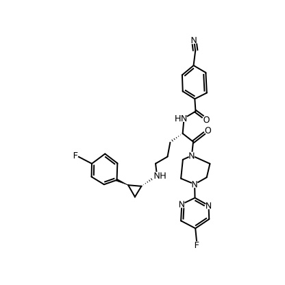 N#Cc1ccc(C(=O)N[C@@H](CCCN[C@@H]2C[C@H]2c2ccc(F)cc2)C(=O)N2CCN(c3ncc(F)cn3)CC2)cc1